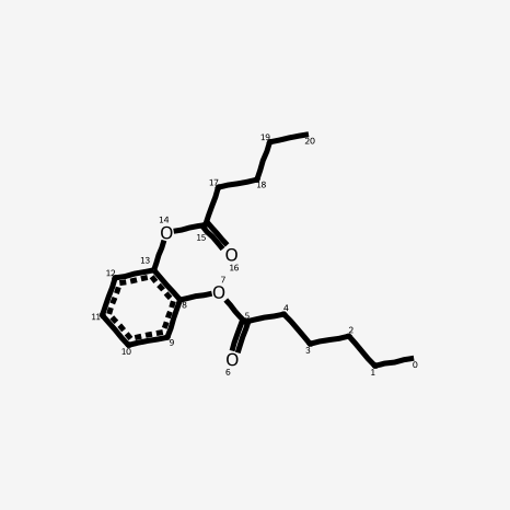 CCCCCC(=O)Oc1ccccc1OC(=O)CCCC